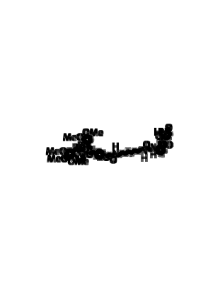 CCC[C@H](C(=O)N1CCCC[C@H]1C(=O)O[C@H](CCc1ccc(OC)c(OC)c1)c1ccc(OCC(=O)NCCCCCCCCNC(=O)CNc2cccc3c2CN(C2CCC(=O)NC2=O)C3=O)cc1)c1cc(OC)c(OC)c(OC)c1